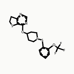 FC(F)(F)Oc1ccccc1SN1CCC(Oc2ncnc3c2SCC3)CC1